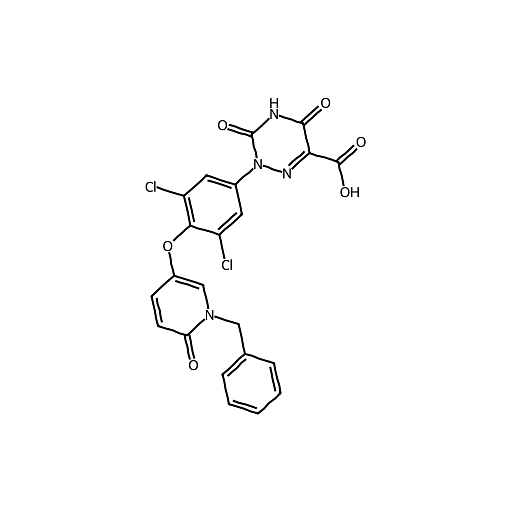 O=C(O)c1nn(-c2cc(Cl)c(Oc3ccc(=O)n(Cc4ccccc4)c3)c(Cl)c2)c(=O)[nH]c1=O